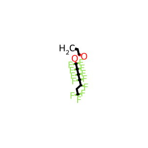 C=CC(=O)OC(F)(F)C(F)(F)C(F)(F)C(F)(F)C(F)CC(F)(F)F